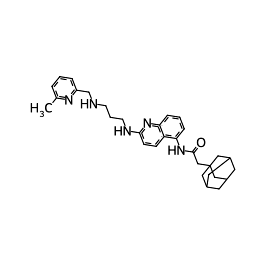 Cc1cccc(CNCCCNc2ccc3c(NC(=O)CC45CC6CC(CC(C6)C4)C5)cccc3n2)n1